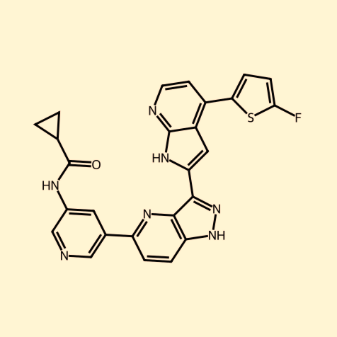 O=C(Nc1cncc(-c2ccc3[nH]nc(-c4cc5c(-c6ccc(F)s6)ccnc5[nH]4)c3n2)c1)C1CC1